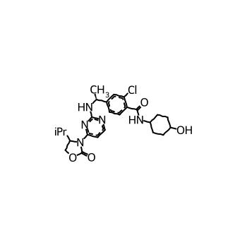 CC(C)C1COC(=O)N1c1ccnc(N[C@@H](C)c2ccc(C(=O)NC3CCC(O)CC3)c(Cl)c2)n1